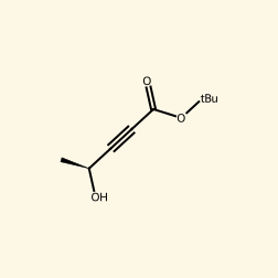 C[C@H](O)C#CC(=O)OC(C)(C)C